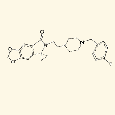 O=C1c2cc3c(cc2C2(CC2)N1CCC1CCN(Cc2ccc(F)cc2)CC1)OCO3